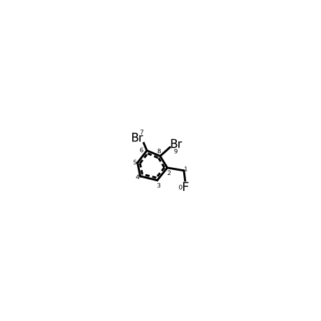 FCc1cccc(Br)c1Br